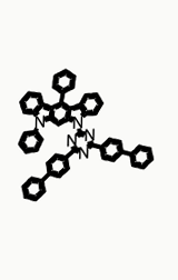 c1ccc(-c2ccc(-c3nc(-c4ccc(-c5ccccc5)cc4)nc(-n4c5ccccc5c5c(-c6ccccc6)c6c7ccccc7n(-c7ccccc7)c6cc54)n3)cc2)cc1